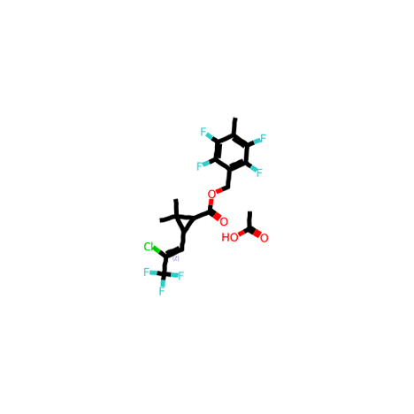 CC(=O)O.Cc1c(F)c(F)c(COC(=O)C2C(/C=C(\Cl)C(F)(F)F)C2(C)C)c(F)c1F